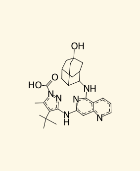 Cc1c(C(C)(C)C)c(Nc2cc3ncccc3c(NC3C4CC5CC3CC(O)(C5)C4)n2)nn1C(=O)O